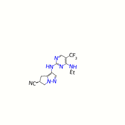 CCNc1nc(Nc2cnn3c2C[C@H](C#N)C3)ncc1C(F)(F)F